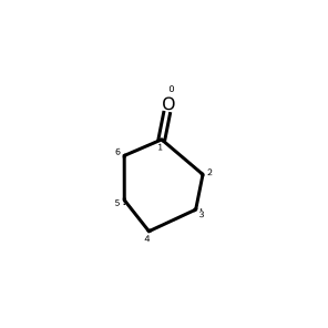 O=C1C[CH]C[CH]C1